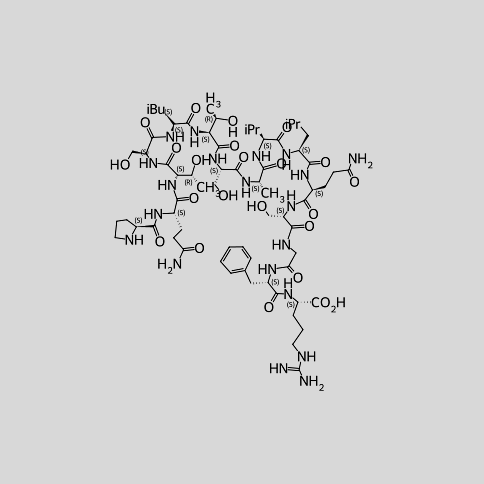 CC[C@H](C)[C@H](NC(=O)[C@H](CO)NC(=O)[C@@H](NC(=O)[C@H](CCC(N)=O)NC(=O)[C@@H]1CCCN1)[C@@H](C)O)C(=O)N[C@H](C(=O)N[C@@H](CO)C(=O)N[C@@H](C)C(=O)N[C@H](C(=O)N[C@@H](CC(C)C)C(=O)N[C@@H](CCC(N)=O)C(=O)N[C@@H](CO)C(=O)NCC(=O)N[C@@H](Cc1ccccc1)C(=O)N[C@@H](CCCNC(=N)N)C(=O)O)C(C)C)[C@@H](C)O